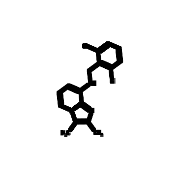 Cc1nc2c(NCc3c(Cl)cccc3Cl)cccn2c1C